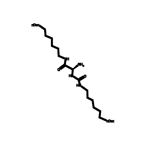 CCCCCCCCCCCCCCCCNC(=O)B[C@H](N)C(=O)NCCCCCCCCCCCCCCCC